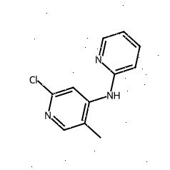 Cc1cnc(Cl)cc1Nc1ccccn1